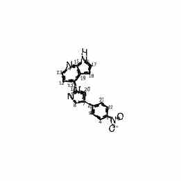 O=[N+]([O-])c1ccc(-c2cnn(-c3ccnc4[nH]ccc34)c2)cc1